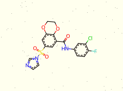 O=C(Nc1ccc(F)c(Cl)c1)c1cc(S(=O)(=O)n2ccnc2)cc2c1OCCO2